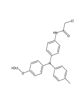 CCCCCCCCOc1ccc(N(c2ccc(C)cc2)c2ccc(NC(=O)CCl)cc2)cc1